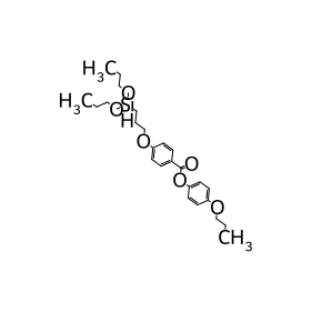 CCCOc1ccc(OC(=O)c2ccc(OCCC[SiH](OCCC)OCCC)cc2)cc1